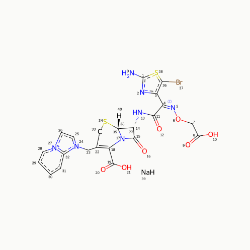 Nc1nc(/C(=N/OCC(=O)O)C(=O)N[C@@H]2C(=O)N3C(C(=O)O)=C(Cn4cc[n+]5ccccc45)CS[C@H]23)c(Br)s1.[NaH]